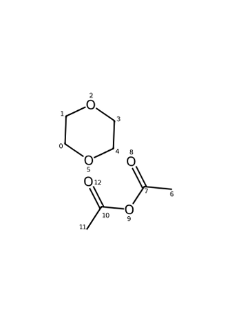 C1COCCO1.CC(=O)OC(C)=O